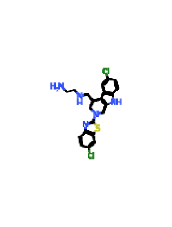 NCCNCC1CN(c2nc3ccc(Cl)cc3s2)Cc2[nH]c3ccc(Cl)cc3c21